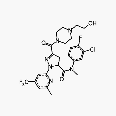 Cc1cc(C(F)(F)F)cc(N2N=C(C(=O)N3CCN(CCO)CC3)CC2C(=O)N(C)c2ccc(F)c(Cl)c2)n1